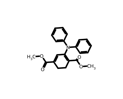 COC(=O)C1=CC(N(c2ccccc2)c2ccccc2)=C(C(=O)OC)CC1